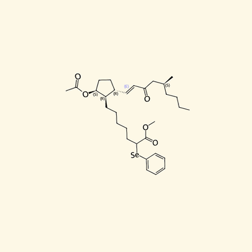 CCCC[C@H](C)CC(=O)/C=C/[C@H]1CC[C@H](OC(C)=O)[C@@H]1CCCCCC([Se]c1ccccc1)C(=O)OC